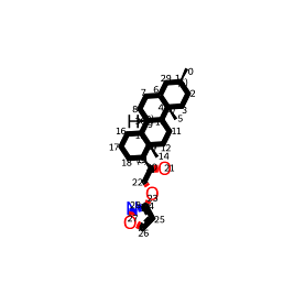 C[C@H]1CC[C@@]2(C)C(CC[C@@H]3C2CC[C@@]2(C)C3CCC[C@@H]2C(=O)COc2ccon2)C1